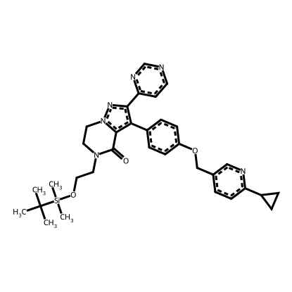 CC(C)(C)[Si](C)(C)OCCN1CCn2nc(-c3ccncn3)c(-c3ccc(OCc4ccc(C5CC5)nc4)cc3)c2C1=O